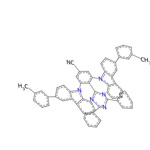 Cc1cccc(-c2ccc3c(c2)c2ccccc2n3-c2cc(C#N)cc(-n3c4ccccc4c4cc(-c5cccc(C)c5)ccc43)c2-c2nc(-c3ccccc3)nc(-c3ccccc3)n2)c1